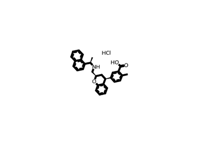 Cc1ccc([C@@H]2C[C@H](CN[C@H](C)c3cccc4ccccc34)Oc3ccccc32)cc1C(=O)O.Cl